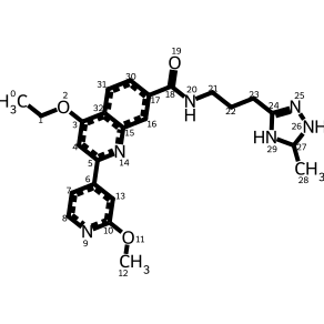 CCOc1cc(-c2ccnc(OC)c2)nc2cc(C(=O)NCCCC3=NNC(C)N3)ccc12